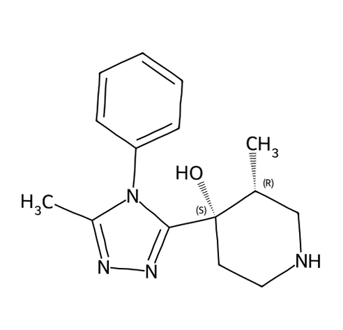 Cc1nnc([C@]2(O)CCNC[C@H]2C)n1-c1ccccc1